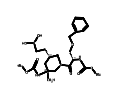 CC(C)(C)OC(=O)N[C@@H](COCc1ccccc1)C(=O)N1C[C@@H](CCB(O)O)C[C@](NC(=O)OC(C)(C)C)(C(=O)O)C1